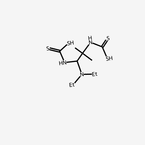 CCN(CC)C(NC(=S)S)C(C)(C)NC(=S)S